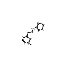 Cc1cccc(C=NNc2ccccn2)n1